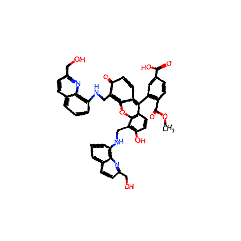 COC(=O)c1ccc(C(=O)O)cc1-c1c2ccc(=O)c(CNc3cccc4ccc(CO)nc34)c-2oc2c(CNc3cccc4ccc(CO)nc34)c(O)ccc12